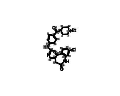 CCN1CCN(C(=O)c2ccc(Nc3ncc4c(n3)-c3ccc(Cl)cc3NC(=O)C4)cc2)CC1